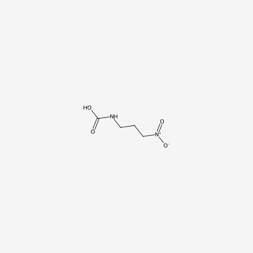 O=C(O)NCCC[N+](=O)[O-]